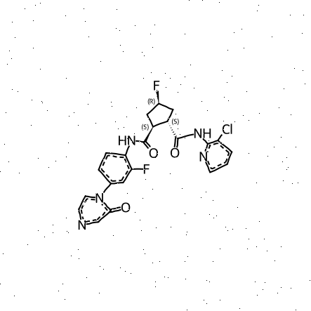 O=C(Nc1ccc(-n2ccncc2=O)cc1F)[C@H]1C[C@@H](F)C[C@@H]1C(=O)Nc1ncccc1Cl